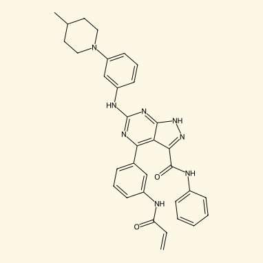 C=CC(=O)Nc1cccc(-c2nc(Nc3cccc(N4CCC(C)CC4)c3)nc3[nH]nc(C(=O)Nc4ccccc4)c23)c1